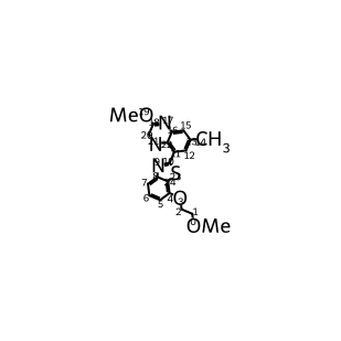 COCCOc1cccc2nc(-c3cc(C)cc4nc(OC)cnc34)sc12